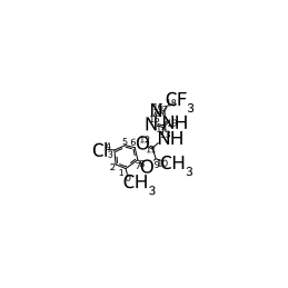 Cc1cc(Cl)ccc1OC(C)C(=O)Nc1nnc(C(F)(F)F)[nH]1